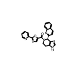 O=C(c1cnc(-c2ccccn2)o1)N1CCc2[nH]cnc2[C@@H]1c1ccc2ccccc2n1